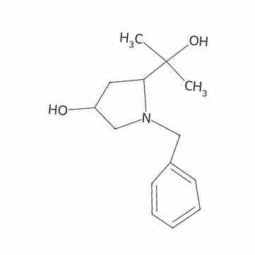 CC(C)(O)C1CC(O)CN1Cc1ccccc1